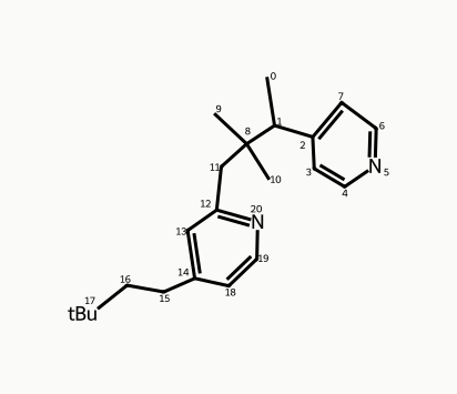 CC(c1ccncc1)C(C)(C)Cc1cc(CCC(C)(C)C)ccn1